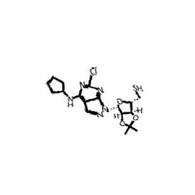 CC1(C)O[C@@H]2[C@H](O1)[C@@H](CS)O[C@H]2n1ncc2c(NC3CCCC3)nc(Cl)nc21